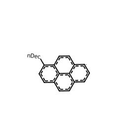 CCCCCCCCCCc1ccc2ccc3cc[c]c4ccc1c2c43